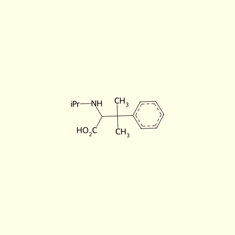 CC(C)NC(C(=O)O)C(C)(C)c1ccccc1